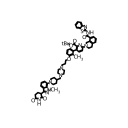 Cc1c(OCCCN2CCN(CC3CCN(c4cccc5c(C6CCC(=O)NC6=O)nn(C)c45)CC3)CC2)cccc1-c1ccc(N2CCc3cccc(C(=O)Nc4nc5ccccc5s4)c3C2)nc1C(=O)OC(C)(C)C